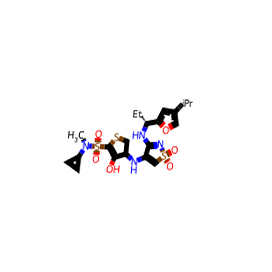 CC[C@@H](NC1=NS(=O)(=O)C=C1NC1CSC(S(=O)(=O)N(C)C2CC2)=C1O)c1cc(C(C)C)co1